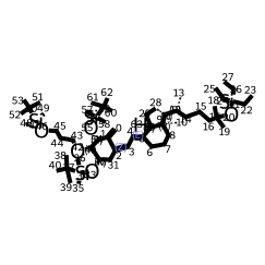 C=C1/C(=C\C=C2/CCC[C@]3(C)[C@@H]([C@H](C)CCCC(C)(C)O[Si](CC)(CC)CC)CC[C@@H]23)C[C@@H](O[Si](C)(C)C(C)(C)C)[C@@H](OCCCO[Si](C)(C)C(C)(C)C)[C@@H]1O[Si](C)(C)C(C)(C)C